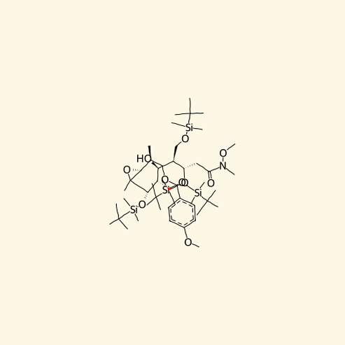 COc1ccc(COC[C@H](C)[C@H]2OC2(C)[C@@H](O[Si](C)(C)C(C)(C)C)[C@@H](CO[Si](C)(C)C(C)(C)C)[C@@H](O)[C@@H](CO[Si](C)(C)C(C)(C)C)[C@H](CC(=O)N(C)OC)O[Si](C)(C)C(C)(C)C)cc1